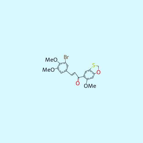 COc1cc2c(cc1C(=O)C=Cc1cc(Br)c(OC)c(OC)c1)SCO2